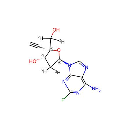 [2H]C1([2H])[C@H](n2cnc3c(N)nc(F)nc32)O[C@](C#C)(C([2H])([2H])O)[C@H]1O